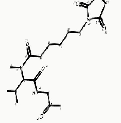 CC(=O)CNC(=O)C(C(C)C)N(C)C(=O)CCCCCN1C(=O)CC(C)C1=O